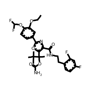 CCOc1cc(-c2nc(C(=O)NCCc3ccc(F)cc3F)c(C(C)(OC(N)=O)C(C)(C)C)o2)ccc1OC(F)F